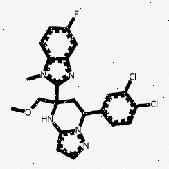 COCC1(c2nc3cc(F)ccc3n2C)CC(c2ccc(Cl)c(Cl)c2)n2nccc2N1